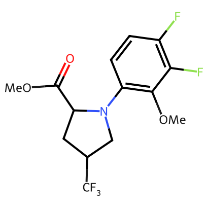 COC(=O)C1CC(C(F)(F)F)CN1c1ccc(F)c(F)c1OC